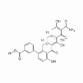 CC(C)OC(=O)c1cccc(-c2ccc(O)c3c2C[C@H]2C[C@H]4CC(O)=C(C(N)=O)C(=O)[C@@]4(O)C(O)=C2C3=O)c1